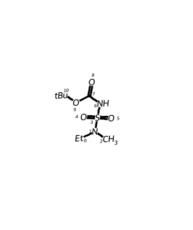 CCN(C)S(=O)(=O)NC(=O)OC(C)(C)C